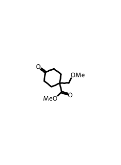 COCC1(C(=O)OC)CCC(=O)CC1